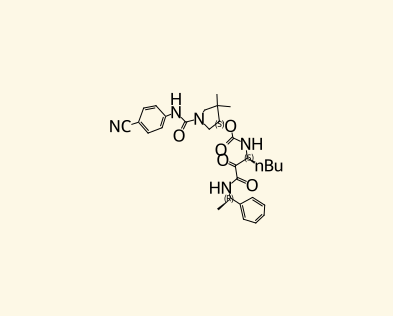 CCCC[C@H](NC(=O)O[C@@H]1CN(C(=O)Nc2ccc(C#N)cc2)CC1(C)C)C(=O)C(=O)N[C@H](C)c1ccccc1